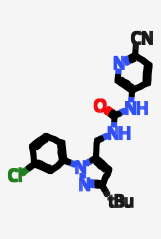 CC(C)(C)c1cc(CNC(=O)Nc2ccc(C#N)nc2)n(-c2cccc(Cl)c2)n1